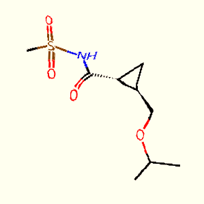 CC(C)OC[C@@H]1C[C@H]1C(=O)NS(C)(=O)=O